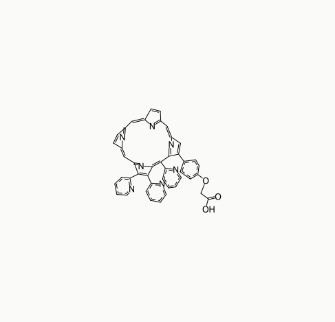 O=C(O)COc1ccc(C2=CC3=CC4=NC(=CC5=NC(=CC6=NC(=C(c7ccccn7)C2=N3)C(c2ccccn2)=C6c2ccccn2)C=C5)C=C4)cc1